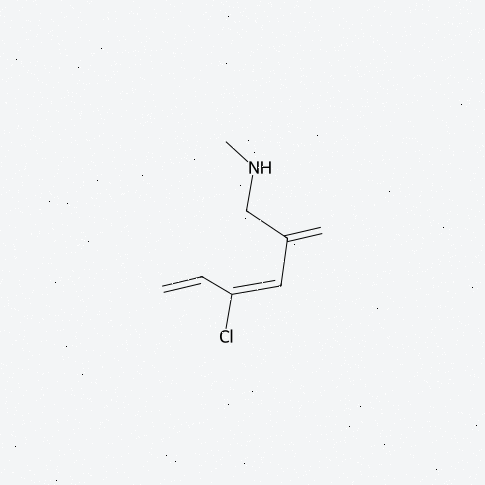 C=C/C(Cl)=C\C(=C)CNC